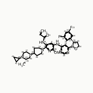 C=CC(=O)Nc1cc(Nc2cc(N3OCC[C@@H]3c3cc(F)cc(F)c3)ncn2)c(OC)nc1N1CCC(N2CCN(C3CC3)[C@@H](C)C2)CC1